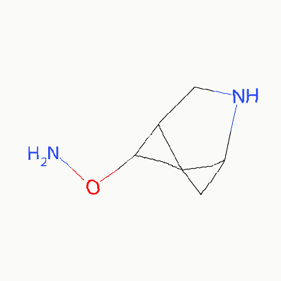 NOC1C2CNC3CC321